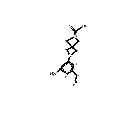 Cc1cc(N2CC3(CN(C(=O)O)C3)C2)cc(CO)n1